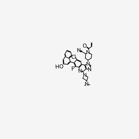 C=CC(=O)N1CCC(n2cnc3c(N4CC(N(C)C)C4)nc4c(F)c(-c5cc(O)cc6ccccc56)c(Cl)cc4c32)CC1C#N